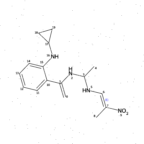 C=C(NC(C)N/C=C(\C)[N+](=O)[O-])c1ccccc1NC1CC1